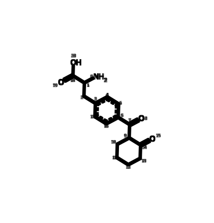 NC(Cc1ccc(C(=O)C2CCCCC2=O)cc1)C(=O)O